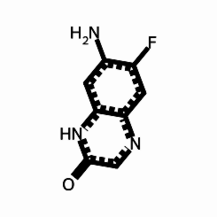 Nc1cc2[nH]c(=O)cnc2cc1F